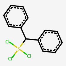 ClS(Cl)(Cl)C(c1ccccc1)c1ccccc1